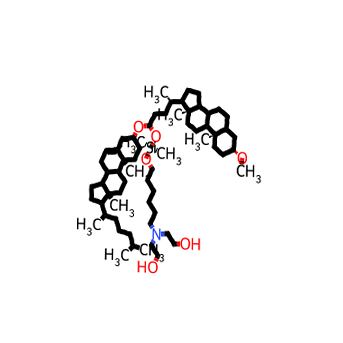 CO[C@H]1CC[C@]2(C)C(CCC3C2CC[C@]2(C)C3CCC2[C@@H](C)CCC(OC2CCC3(C)C(=CCC4C3CCC3(C)C(C(C)CCCC(C)C)CCC43)C2)O[Si](C)(C)OCCCCCCN(CCO)CCO)C1